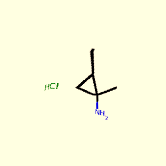 CC1CC1(C)N.Cl